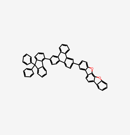 c1ccc(C2(c3ccccc3)c3ccccc3-c3c(-c4ccc5c6ccc(-c7ccc8oc9c(ccc%10c%11ccccc%11oc%109)c8c7)cc6c6ccccc6c5c4)cccc32)cc1